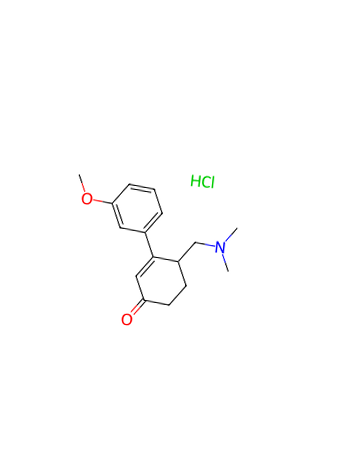 COc1cccc(C2=CC(=O)CCC2CN(C)C)c1.Cl